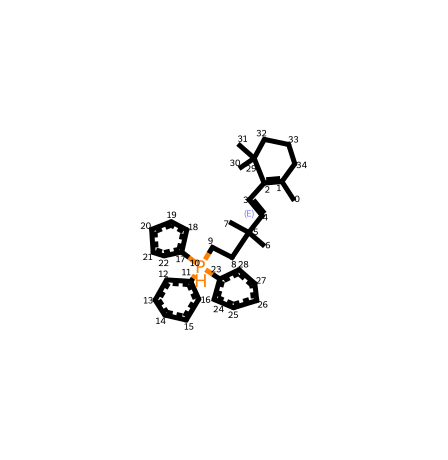 CC1=C(/C=C/C(C)(C)CC[PH](c2ccccc2)(c2ccccc2)c2ccccc2)C(C)(C)CCC1